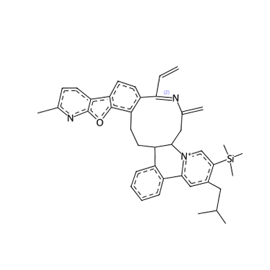 C=C/C1=N/C(=C)CC2C(CCc3c1ccc1c3oc3nc(C)ccc31)c1ccccc1-c1cc(CC(C)C)c([Si](C)(C)C)c[n+]12